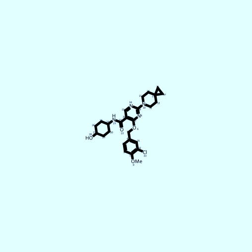 COc1ccc(COc2nc(N3CCC4(CC3)CC4)ncc2C(=O)NC2CCC(O)CC2)cc1Cl